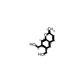 C=C1C=Cc2cc(CO)c(CO)cc2O1